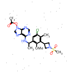 COc1c(C(C)Nc2ncnc3c2ncn3OC(=O)C(F)(F)F)cc(Cl)c(C)c1C1CN(S(C)(=O)=O)C1